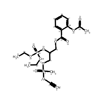 C#COP(C)(=O)OCC(COC(=O)c1ccccc1OC(C)=O)OP(=O)(OCC)OCC